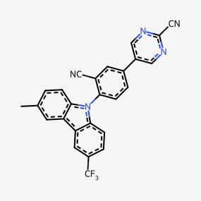 Cc1ccc2c(c1)c1cc(C(F)(F)F)ccc1n2-c1ccc(-c2cnc(C#N)nc2)cc1C#N